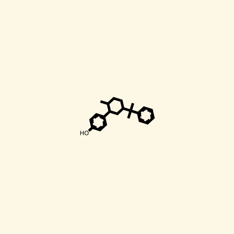 CC1CCC(C(C)(C)c2ccccc2)CC1c1ccc(O)cc1